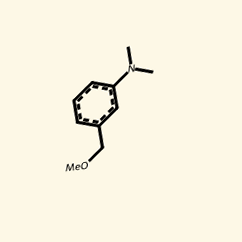 COCc1cccc(N(C)C)c1